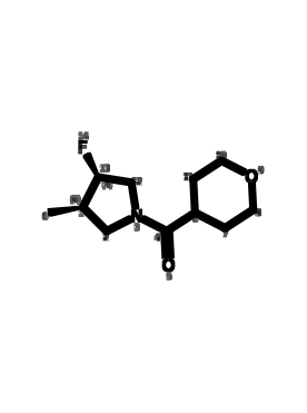 C[C@@H]1CN(C(=O)C2CCOCC2)C[C@@H]1F